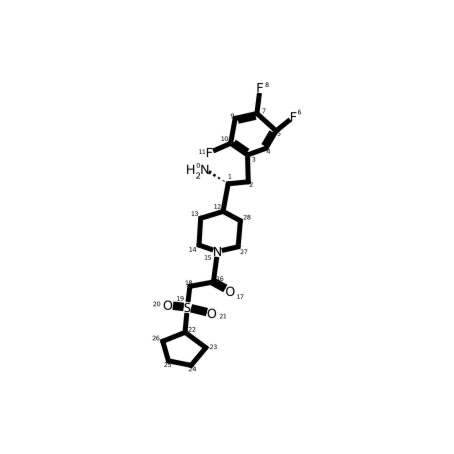 N[C@H](Cc1cc(F)c(F)cc1F)C1CCN(C(=O)CS(=O)(=O)C2CCCC2)CC1